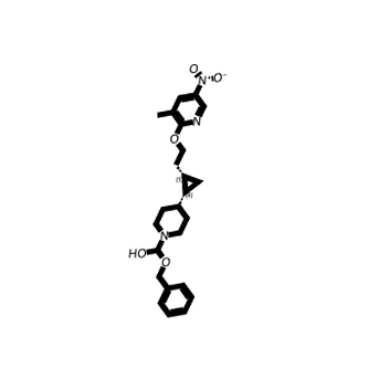 Cc1cc([N+](=O)[O-])cnc1OCC[C@@H]1C[C@@H]1C1CCN(C(O)OCc2ccccc2)CC1